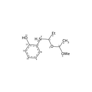 CCC(OC(C)OC)[SiH2]c1ccccc1O